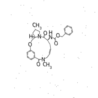 C[C@H]1C[C@H]2COc3cccc(c3)C(=O)N(C)CC=CC[C@H](NC(=O)OCc3ccccc3)C(=O)N2C1